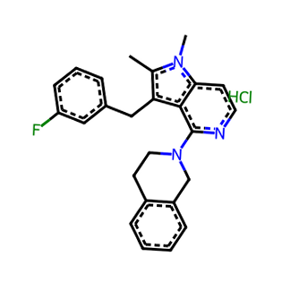 Cc1c(Cc2cccc(F)c2)c2c(N3CCc4ccccc4C3)nccc2n1C.Cl